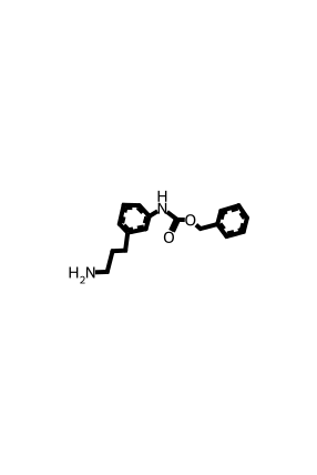 NCCCc1cccc(NC(=O)OCc2ccccc2)c1